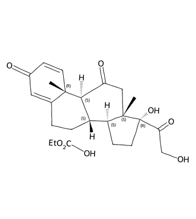 CCOC(=O)O.C[C@]12C=CC(=O)C=C1CC[C@@H]1[C@@H]2C(=O)C[C@@]2(C)[C@H]1CC[C@]2(O)C(=O)CO